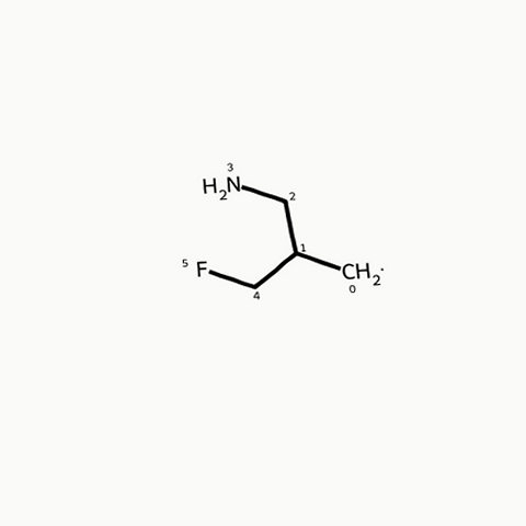 [CH2]C(CN)CF